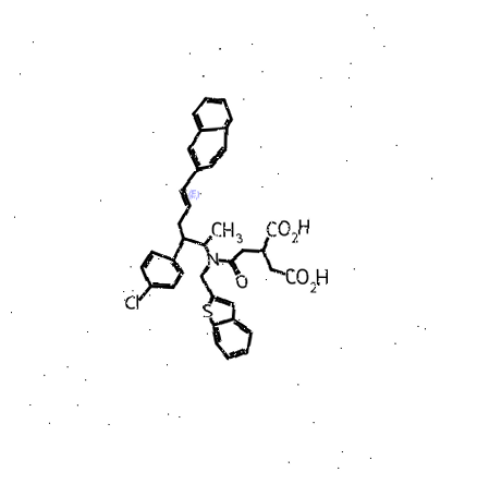 CC(C(C/C=C/c1ccc2ccccc2c1)c1ccc(Cl)cc1)N(Cc1cc2ccccc2s1)C(=O)CC(CC(=O)O)C(=O)O